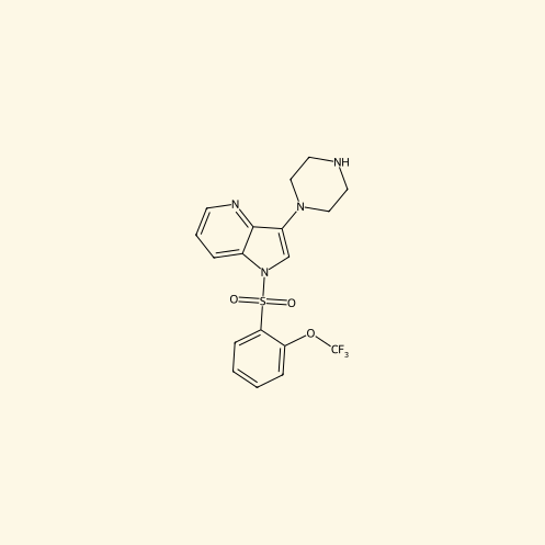 O=S(=O)(c1ccccc1OC(F)(F)F)n1cc(N2CCNCC2)c2ncccc21